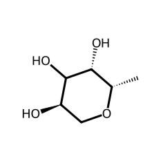 C[C@@H]1OC[C@@H](O)C(O)[C@@H]1O